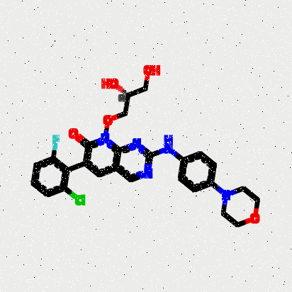 O=c1c(-c2c(F)cccc2Cl)cc2cnc(Nc3ccc(N4CCOCC4)cc3)nc2n1OC[C@H](O)CO